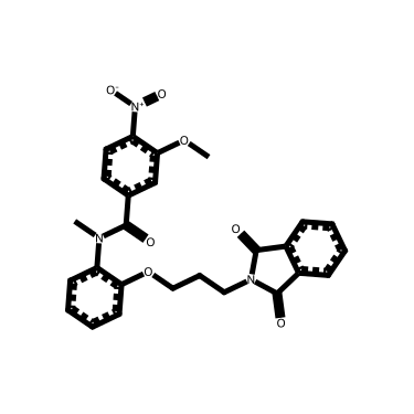 COc1cc(C(=O)N(C)c2ccccc2OCCCN2C(=O)c3ccccc3C2=O)ccc1[N+](=O)[O-]